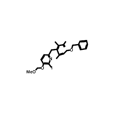 C=C(C)/C(C)=C(Cc1ccc(OCOC)c(I)n1)\C(C)=C/COCc1ccccc1